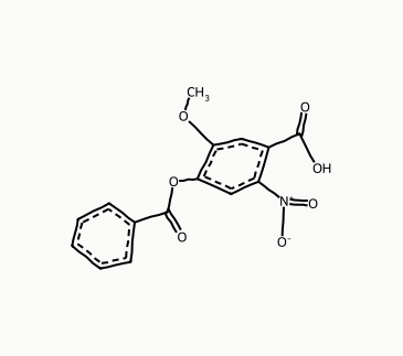 COc1cc(C(=O)O)c([N+](=O)[O-])cc1OC(=O)c1ccccc1